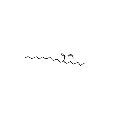 CCCCCCCCCCCN(CCCCCC)C(N)=O